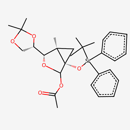 CC(=O)OC1O[C@H]([C@@H]2COC(C)(C)O2)[C@@]2(C)C[C@@]12O[Si](c1ccccc1)(c1ccccc1)C(C)(C)C